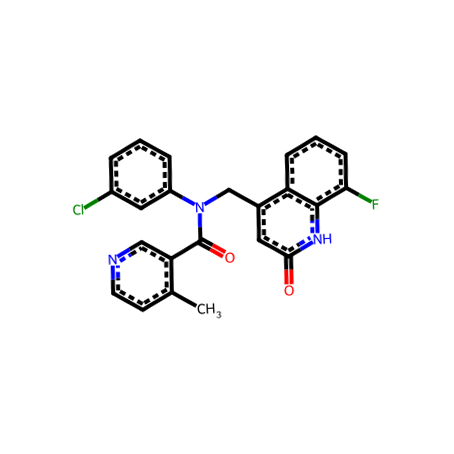 Cc1ccncc1C(=O)N(Cc1cc(=O)[nH]c2c(F)cccc12)c1cccc(Cl)c1